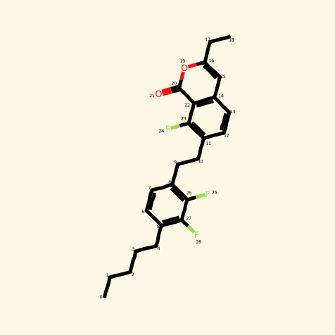 CCCCCc1ccc(CCc2ccc3cc(CC)oc(=O)c3c2F)c(F)c1F